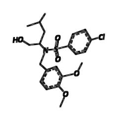 COc1ccc(CN(C(CO)CC(C)C)S(=O)(=O)c2ccc(Cl)cc2)cc1OC